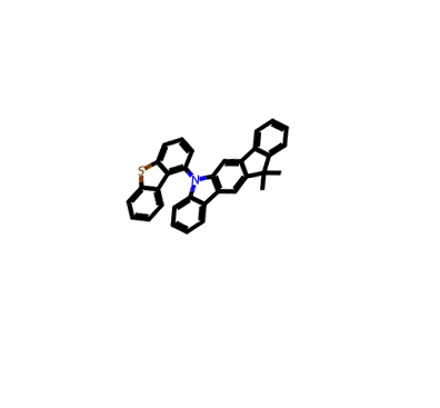 CC1(C)c2ccccc2-c2cc3c(cc21)c1ccccc1n3-c1cccc2sc3ccccc3c12